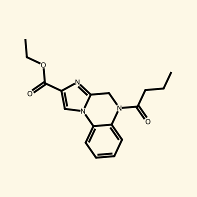 CCCC(=O)N1Cc2nc(C(=O)OCC)cn2-c2ccccc21